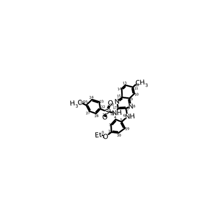 CCOc1ccc(Nc2nc3cc(C)ccc3nc2NS(=O)(=O)c2ccc(C)cc2)cc1